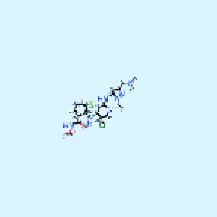 CCn1nc(CN(C)C)cc1Nc1cc(Nc2c(F)cccc2C(=O)NOC)c(Cl)cn1